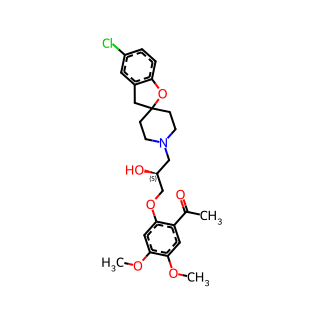 COc1cc(OC[C@@H](O)CN2CCC3(CC2)Cc2cc(Cl)ccc2O3)c(C(C)=O)cc1OC